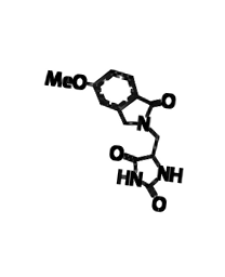 COc1ccc2c(c1)CN(CC1NC(=O)NC1=O)C2=O